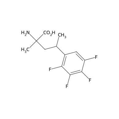 CC(CC(C)(N)C(=O)O)c1cc(F)c(F)c(F)c1F